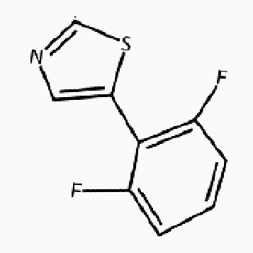 Fc1cccc(F)c1-c1cn[c]s1